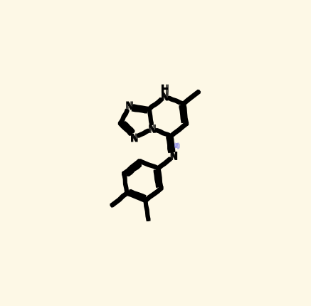 Cc1c/c(=N/c2ccc(C)c(C)c2)n2ncnc2[nH]1